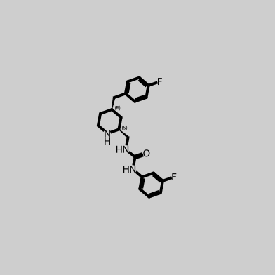 O=C(NC[C@@H]1C[C@H](Cc2ccc(F)cc2)CCN1)Nc1cccc(F)c1